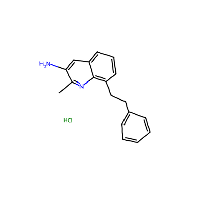 Cc1nc2c(CCc3ccccc3)cccc2cc1N.Cl